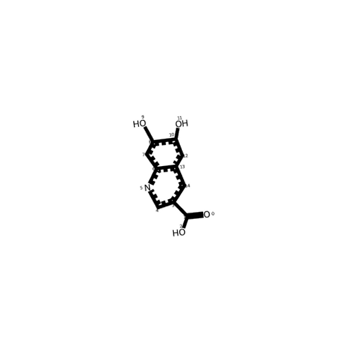 O=C(O)c1cnc2cc(O)c(O)cc2c1